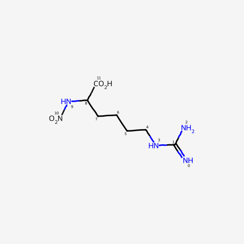 N=C(N)NCCCCC(N[N+](=O)[O-])C(=O)O